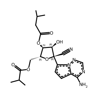 CC(C)CC(=O)O[C@H]1[C@@H](O)[C@](C#N)(c2ccc3c(N)ncnn23)O[C@@H]1COC(=O)C(C)C